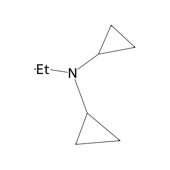 C[CH]N(C1CC1)C1CC1